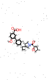 COc1ccc(C(=O)O)cc1-c1ccc([C@H]2CC[C@@]23CCN(C(=O)[C@H]2CCCO2)C3)cc1